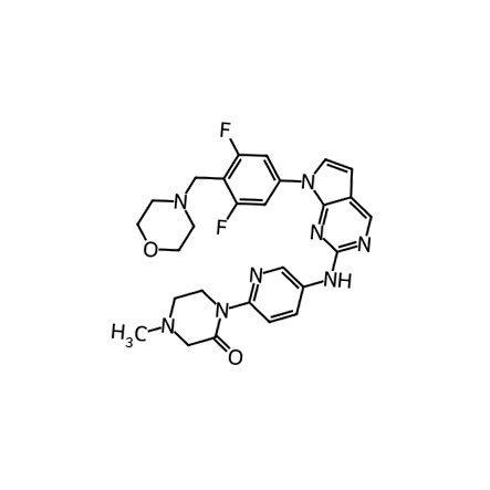 CN1CCN(c2ccc(Nc3ncc4ccn(-c5cc(F)c(CN6CCOCC6)c(F)c5)c4n3)cn2)C(=O)C1